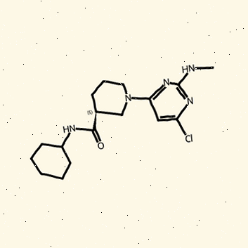 CNc1nc(Cl)cc(N2CCC[C@H](C(=O)NC3CCCCC3)C2)n1